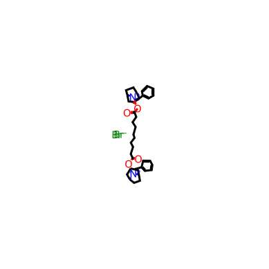 C[N+]1(Cc2ccccc2)C2CCC1CC(OC(=O)CCCCCCCCC(=O)OC1CC3CCC(C1)[N+]3(C)Cc1ccccc1)C2.[Br-].[Br-]